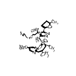 COCCC(OC)n1c(NS(=O)(=O)[C@@H](C)[C@H](C)c2ncc(OC)cn2)nnc1[C@H]1CC[C@@H](C)O1